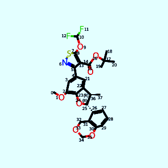 COc1cc(-c2nsc(OC(F)F)c2C(=O)OC(C)(C)C)cc2c1O[C@@H](c1cccc3c1COCO3)[C@@H]2C